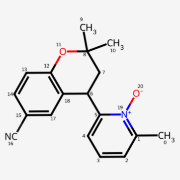 Cc1cccc(C2CC(C)(C)Oc3ccc(C#N)cc32)[n+]1[O-]